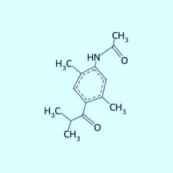 CC(=O)Nc1cc(C)c(C(=O)C(C)C)cc1C